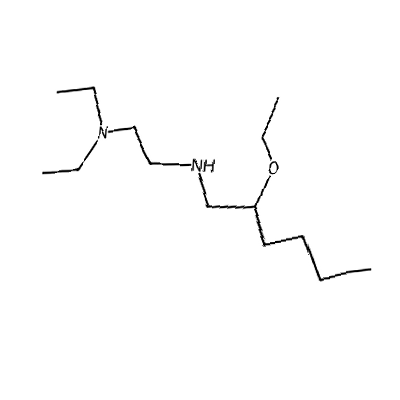 CCCCC(CNCCN(CC)CC)OCC